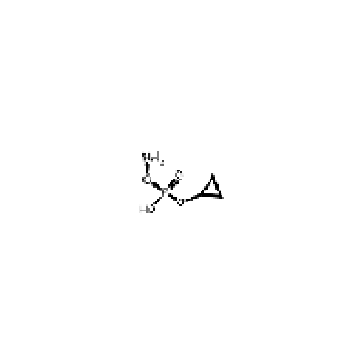 NOP(=O)(O)OC1CC1